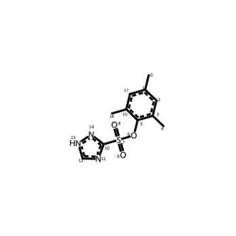 Cc1cc(C)c(OS(=O)(=O)c2nc[nH]n2)c(C)c1